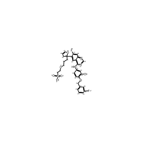 CCS(=O)(=O)CCOCCCC1(c2cc3c(Nc4ccc(OCc5cccc(F)c5)c(Cl)c4)ncnc3cc2F)CC=CO1